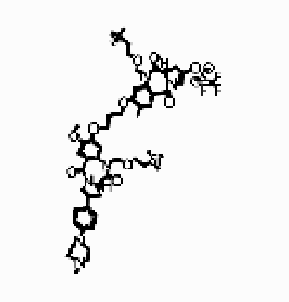 COc1cc2c(cc1OCCCOc1cc3c(cc1C)C(=O)N1C=C(OS(=O)(=O)C(F)(F)F)C[C@H]1C(=O)N3COCC[Si](C)(C)C)N(COCC[Si](C)(C)C)C(=O)[C@@H]1CC(c3ccc(N4CCN(C)CC4)cc3)=CN1C2=O